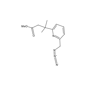 COC(=O)CC(C)(C)c1cccc(CN=[N+]=[N-])n1